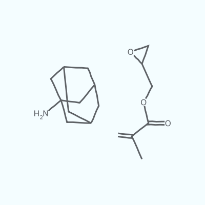 C=C(C)C(=O)OCC1CO1.NC12CC3CC(CC(C3)C1)C2